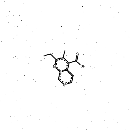 CCc1nc2cnccc2c(C(=O)O)c1C